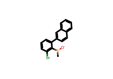 C[S+]([O-])c1c(Br)cccc1-c1ccc2ccccc2c1